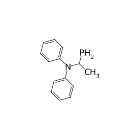 CC(P)N(c1ccccc1)c1ccccc1